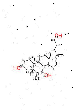 CCC1[C@@H](O)C2C3CC[C@H]([C@H](C)CCCO)[C@@]3(C)CCC2[C@@]2(C)CC[C@@H](O)C[C@@H]12